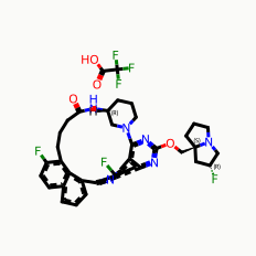 O=C(O)C(F)(F)F.O=C1CCCc2c(F)ccc3cccc(c23)-c2ncc3c(nc(OC[C@@]45CCCN4C[C@H](F)C5)nc3c2F)N2CCC[C@H](C2)N1